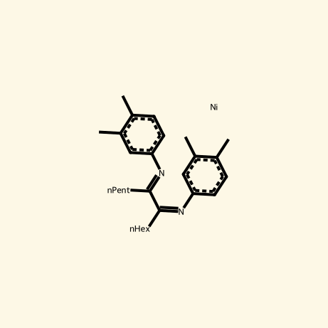 CCCCCCC(=Nc1ccc(C)c(C)c1)C(CCCCC)=Nc1ccc(C)c(C)c1.[Ni]